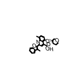 Cc1c(-c2cc(C(=O)O)c3c(OC[C@H]4CCCOC4)ccc(C)c3n2)oc2ccccc12